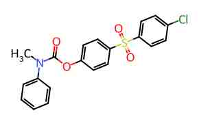 CN(C(=O)Oc1ccc(S(=O)(=O)c2ccc(Cl)cc2)cc1)c1ccccc1